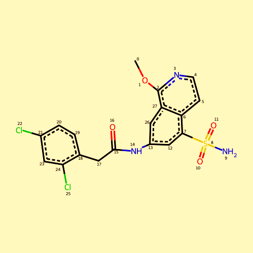 COc1nccc2c(S(N)(=O)=O)cc(NC(=O)Cc3ccc(Cl)cc3Cl)cc12